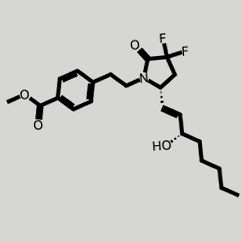 CCCCC[C@H](O)/C=C/[C@H]1CC(F)(F)C(=O)N1CCc1ccc(C(=O)OC)cc1